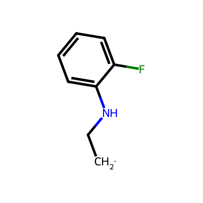 [CH2]CNc1ccccc1F